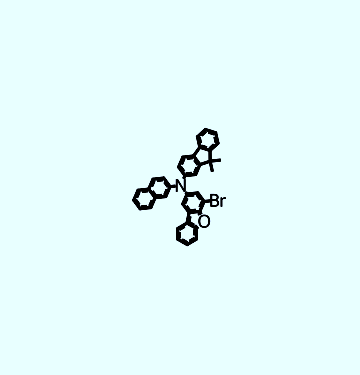 CC1(C)c2ccccc2-c2ccc(N(c3ccc4ccccc4c3)c3cc(Br)c4oc5ccccc5c4c3)cc21